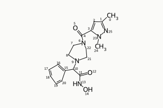 Cc1cc(C(=O)N2CCN(C(C(=O)NO)c3ccccc3)CC2)n(C)n1